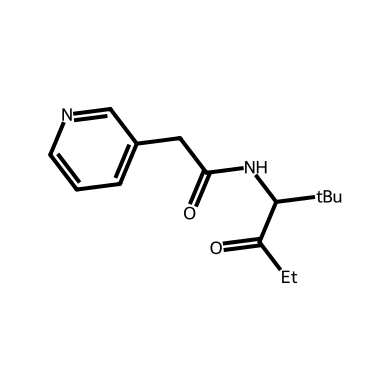 CCC(=O)C(NC(=O)Cc1cccnc1)C(C)(C)C